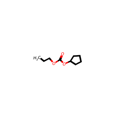 CCCOC(=O)OC1CCCC1